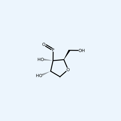 O=P[C@]1(O)[C@@H](O)[CH]O[C@@H]1CO